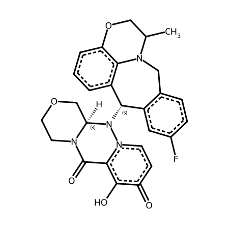 CC1COc2cccc3c2N1Cc1ccc(F)cc1[C@@H]3N1[C@@H]2COCCN2C(=O)c2c(O)c(=O)ccn21